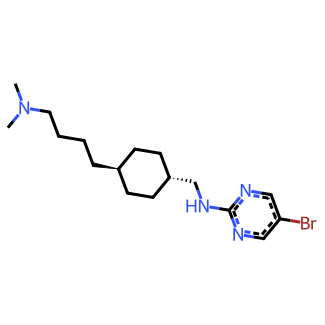 CN(C)CCCC[C@H]1CC[C@H](CNc2ncc(Br)cn2)CC1